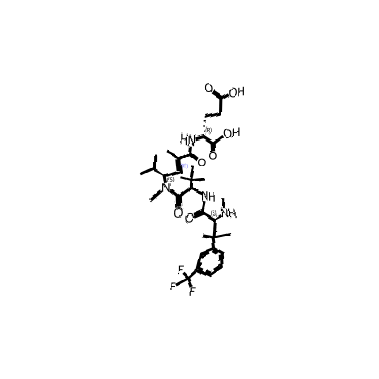 CN[C@H](C(=O)NC(C(=O)N(C)[C@H](/C=C(\C)C(=O)N[C@H](CCC(=O)O)C(=O)O)C(C)C)C(C)(C)C)C(C)(C)c1cccc(C(F)(F)F)c1